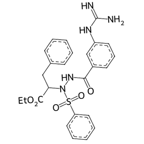 CCOC(=O)C(Cc1ccccc1)N(NC(=O)c1cccc(NC(=N)N)c1)S(=O)(=O)c1ccccc1